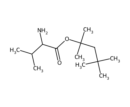 CC(C)C(N)C(=O)OC(C)(C)CC(C)(C)C